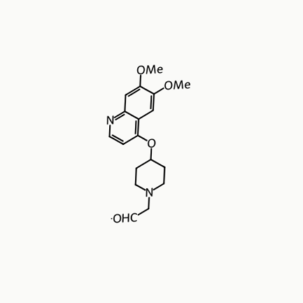 COc1cc2nccc(OC3CCN(C[C]=O)CC3)c2cc1OC